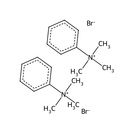 C[N+](C)(C)c1ccccc1.C[N+](C)(C)c1ccccc1.[Br-].[Br-]